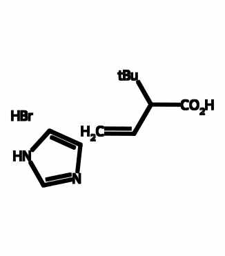 Br.C=CC(C(=O)O)C(C)(C)C.c1c[nH]cn1